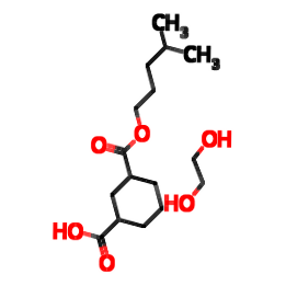 CC(C)CCCOC(=O)C1CCCC(C(=O)O)C1.OCCO